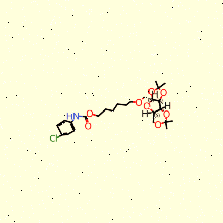 CC1(C)OC[C@@H]2O[C@@]3(COCCCCCCOC(=O)Nc4ccc(Cl)cc4)OC(C)(C)O[C@H]3[C@@H]2O1